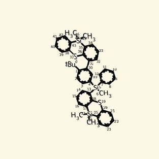 CC(C)(C)c1ccc([Si](C)(c2ccccc2)c2cccc3c2Sc2ccccc2[Si]3(C)C)cc1-c1cccc2c1Sc1ccccc1[Si]2(C)C